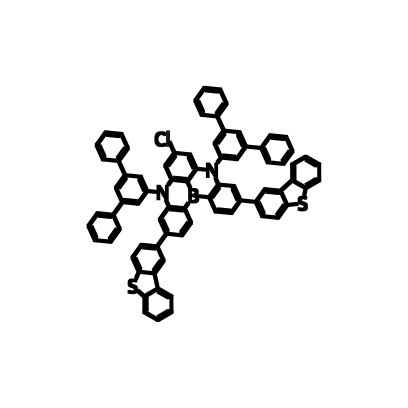 Clc1cc2c3c(c1)N(c1cc(-c4ccccc4)cc(-c4ccccc4)c1)c1cc(-c4ccc5sc6ccccc6c5c4)ccc1B3c1ccc(-c3ccc4sc5ccccc5c4c3)cc1N2c1cc(-c2ccccc2)cc(-c2ccccc2)c1